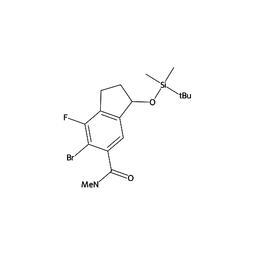 CNC(=O)c1cc2c(c(F)c1Br)CCC2O[Si](C)(C)C(C)(C)C